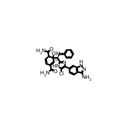 COC1([C@@H](Cc2ccccc2)c2nc(-c3ccc4c(N)n[nH]c4c3)c(Cl)[nH]2)C=C(C(N)=O)C=CC1C(N)=O